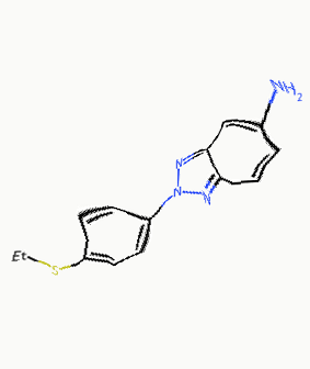 CCSc1ccc(-n2nc3ccc(N)cc3n2)cc1